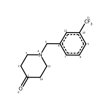 O=C1CCN(Cc2cccc(C(F)(F)F)c2)CC1